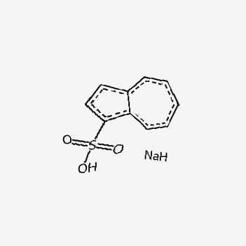 O=S(=O)(O)c1ccc2cccccc1-2.[NaH]